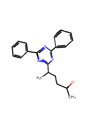 CC([O])CCC(C)c1nc(-c2ccccc2)nc(-c2ccccc2)n1